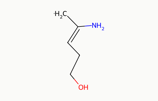 [CH2]C(N)=CCCO